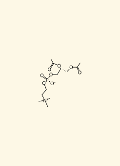 CC(=O)OC[C@H](COP(=O)([O-])OCC[N+](C)(C)C)OC(C)=O